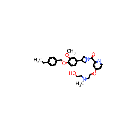 CCc1ccc(COc2ccc(C3CN(C(=O)c4cc(OCCN(C)CCO)ccn4)C3)cc2OC)cc1